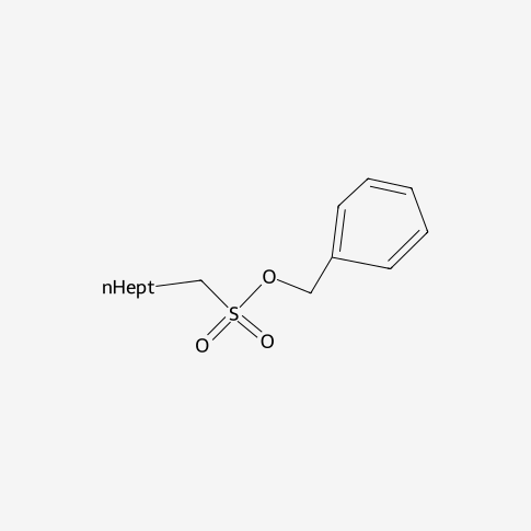 CCCCCCCCS(=O)(=O)OCc1ccccc1